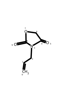 C=CCN1C(=O)COC1=O